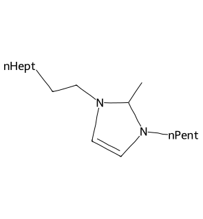 CCCCCCCCCN1C=CN(CCCCC)C1C